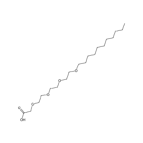 CCCCCCCCCCCOCCOCCOCCOCC(=O)O